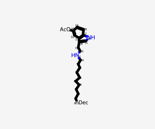 CCCCCCCCCCCCCCCCCCCCNCCc1c[nH]c2ccc(OC(C)=O)cc12